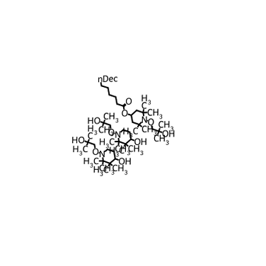 CC(C)(O)CON1CCC(O)C(C)(C)C1(C)C.CC(C)(O)CON1CCC(O)C(C)(C)C1(C)C.CCCCCCCCCCCCCCCC(=O)OC1CC(C)(C)N(OCC(C)(C)O)C(C)(C)C1